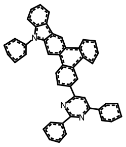 c1ccc(-c2cc(-c3ccc4c(c3)c3ccccc3c3cc5c6ccccc6n(-c6ccccc6)c5cc43)nc(-c3ccccc3)n2)cc1